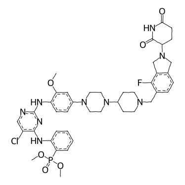 COc1cc(N2CCN(C3CCN(Cc4ccc5c(c4F)CN(C4CCC(=O)NC4=O)C5)CC3)CC2)ccc1Nc1ncc(Cl)c(Nc2ccccc2P(=O)(OC)OC)n1